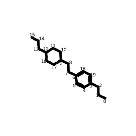 CCCc1ccc(CCC2CCC(CCC)CC2)cc1